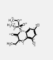 CCC(Oc1ccc(Cl)cc1Cl)C(=O)OP(=O)(OC)OC